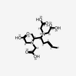 CC=CCC(C(C)N(CC(=O)O)CC(=O)O)N(CC(=O)O)CC(=O)O